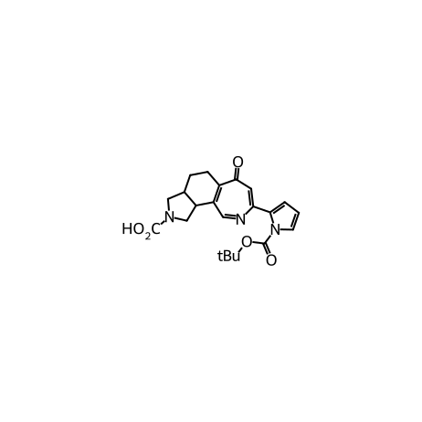 CC(C)(C)OC(=O)n1cccc1-c1cc(=O)c2c(cn1)C1CN(C(=O)O)CC1CC2